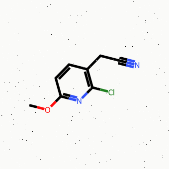 COc1ccc(CC#N)c(Cl)n1